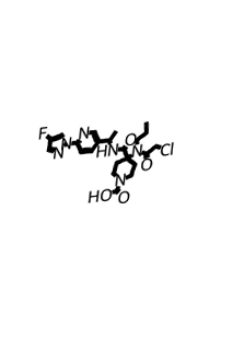 CCCN(C(=O)CCl)C1(C(=O)NC(C)c2ccc(-n3cc(F)cn3)nc2)CCN(C(=O)O)CC1